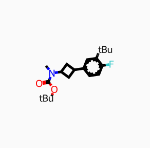 CN(C(=O)OC(C)(C)C)C1CC(c2ccc(F)c(C(C)(C)C)c2)C1